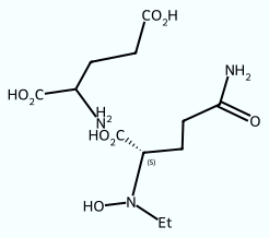 CCN(O)[C@@H](CCC(N)=O)C(=O)O.NC(CCC(=O)O)C(=O)O